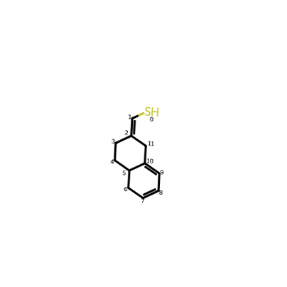 SC=C1CCC2CC=CC=C2C1